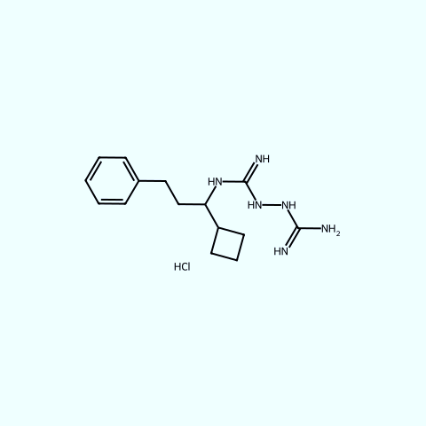 Cl.N=C(N)NNC(=N)NC(CCc1ccccc1)C1CCC1